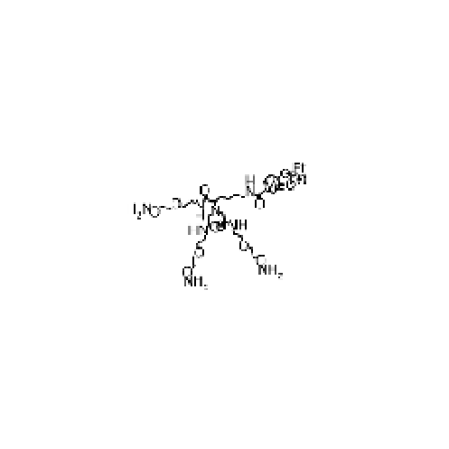 CCP(=O)(OC)OC1CCC(C(=O)NCCCCC(C(=O)NCCOCCON)N(CC(=O)NCCOCCON)CC(=O)NCCOCCON)CC1